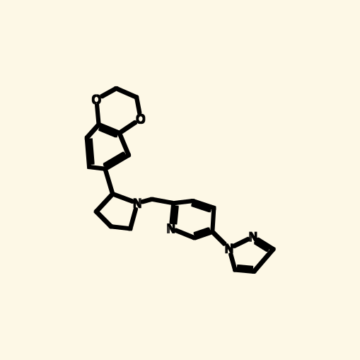 c1cnn(-c2ccc(CN3CCCC3c3ccc4c(c3)OCCO4)nc2)c1